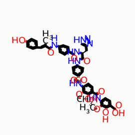 COc1c(NC(=O)c2ccc(NS(=O)(=O)c3ccc(NC(=O)[C@H](Cc4c[nH]nn4)NC(=O)c4ccc(NC(=O)/C(C)=C/c5ccc(O)cc5)cc4)cc3)c(OC)c2O)ccc(C(=O)O)c1O